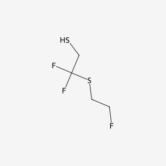 FCCSC(F)(F)CS